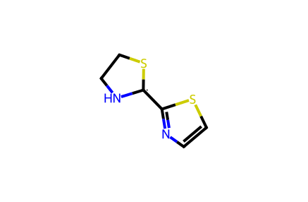 c1csc([C]2NCCS2)n1